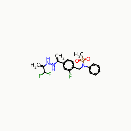 C=C(NNC(=C)C(F)F)c1ccc(CN(c2ccccc2)S(C)(=O)=O)c(F)c1